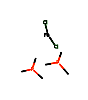 CP(C)C.CP(C)C.[Cl][Fe][Cl]